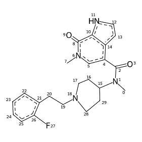 CN(C(=O)c1cn(C)c(=O)c2[nH]ccc12)C1CCN(CCc2ccccc2F)CC1